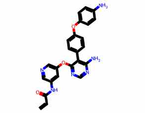 C=CC(=O)Nc1cncc(Oc2ncnc(N)c2-c2ccc(Oc3ccc(N)cc3)cc2)c1